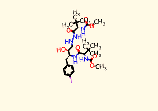 COC(=O)N[C@H](C(=O)NNC[C@H](O)[C@H](Cc1ccc(I)cc1)NC(=O)[C@@H](NC(=O)OC)C(C)(C)C)C(C)(C)C